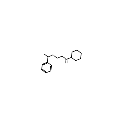 CC(OCCNC1CCCCC1)c1ccccc1